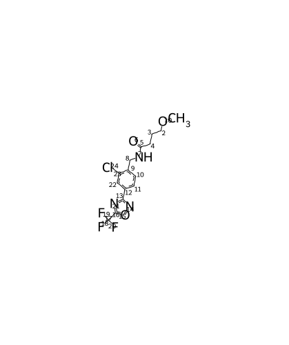 COCCCC(=O)NCc1ccc(-c2noc(C(F)(F)F)n2)cc1Cl